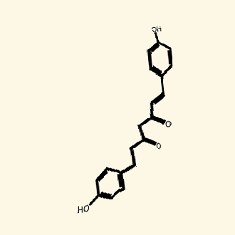 O=C(/C=C/c1ccc(O)cc1)CC(=O)CCc1ccc(O)cc1